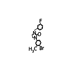 Cc1cc(N2CCN(Cc3cccc(F)c3)C2=O)ccc1Br